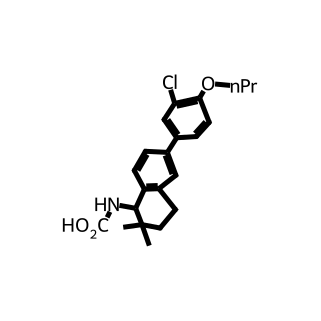 CCCOc1ccc(-c2ccc3c(c2)CCC(C)(C)C3NC(=O)O)cc1Cl